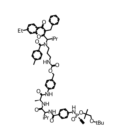 C#CP(=O)(Nc1ccc(C(=O)NC(C(=O)N[C@@H](C)C(=O)Nc2ccc(COC(=O)NCCCN(C(=O)c3ccc(C)cc3)C(c3oc4cc(CC)ccc4c(=O)c3Cc3ccccc3)C(C)C)cc2)C(C)C)cc1)OC(C)(C)COC(C)(C)C